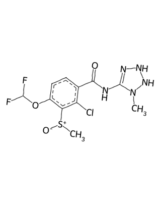 CN1NNN=C1NC(=O)c1ccc(OC(F)F)c([S+](C)[O-])c1Cl